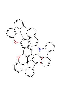 c1ccc(-c2ccccc2N(c2ccc3c(c2)C2(c4ccccc4Oc4ccccc42)c2ccccc2-3)c2ccc3c4c(ccc3c2)-c2ccccc2C42c3ccccc3Oc3ccccc32)cc1